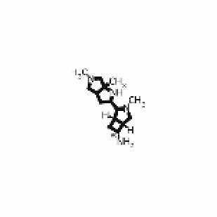 CN1CC2CC(C3[C@H]4C[C@@H](N)[C@H]4CN3C)NC2(C)C1